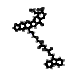 CC[C@@]1(O)C(=O)OCc2c1cc1n(c2=O)Cc2c-1nc1cc3c(cc1c2/C=C/COCNC(=O)CNC(=O)OCC1c2ccccc2-c2ccccc21)OCO3